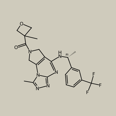 Cc1nnc2nc(N[C@H](C)c3cccc(C(F)(F)F)c3)c3c(n12)CN(C(=O)C1(C)COC1)C3